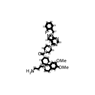 COc1cc2c(cc1OC)[C@]1(CC[C@@H](C(=O)N3CCN(c4ncnc5c4cnn5Cc4ccccc4F)CC3)CC1)N(CCCN)CC2